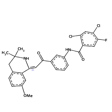 COc1ccc2c(c1)/C(=C/C(=O)c1cccc(NC(=O)c3cc(F)c(Cl)cc3Cl)c1)NC(C)(C)C2